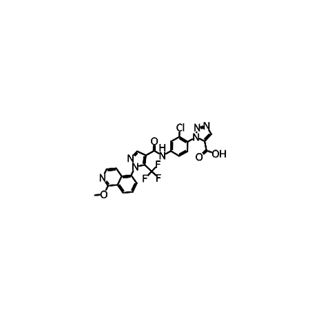 COc1nccc2c(-n3ncc(C(=O)Nc4ccc(-n5nncc5C(=O)O)c(Cl)c4)c3C(F)(F)F)cccc12